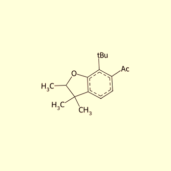 CC(=O)c1ccc2c(c1C(C)(C)C)OC(C)C2(C)C